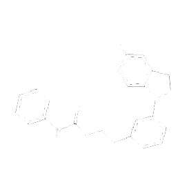 O=C(Nc1ccccc1)OCCc1cccc(B2OCc3cc(F)ccc32)c1